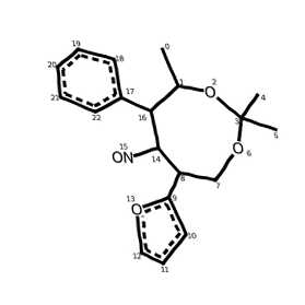 CC1OC(C)(C)OCC(c2ccco2)C(N=O)C1c1ccccc1